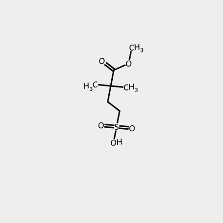 COC(=O)C(C)(C)CCS(=O)(=O)O